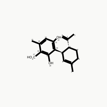 C=C(C)[C@@H]1CCC(C)=C[C@H]1c1c(O)cc(C)c(C(=O)O)c1O